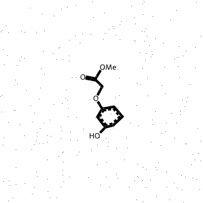 COC(=O)COc1cccc(O)c1